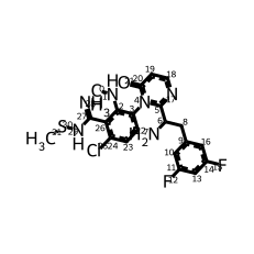 CNc1c(-n2c(C(N)Cc3cc(F)cc(F)c3)nccc2=O)ccc(Cl)c1C(=N)NSC